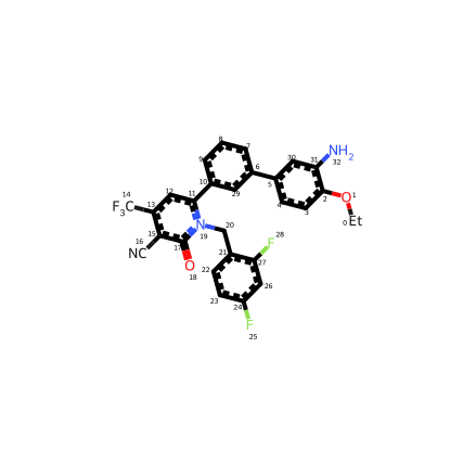 CCOc1ccc(-c2cccc(-c3cc(C(F)(F)F)c(C#N)c(=O)n3Cc3ccc(F)cc3F)c2)cc1N